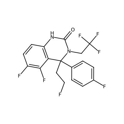 O=C1Nc2ccc(F)c(F)c2C(CCF)(c2ccc(F)cc2)N1CC(F)(F)F